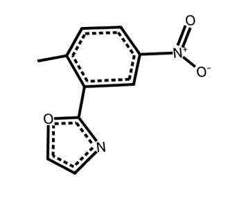 Cc1ccc([N+](=O)[O-])cc1-c1ncco1